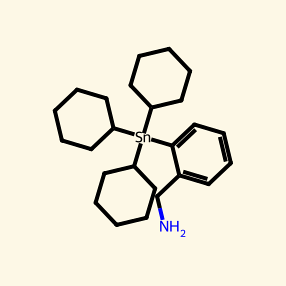 NCc1cccc[c]1[Sn]([CH]1CCCCC1)([CH]1CCCCC1)[CH]1CCCCC1